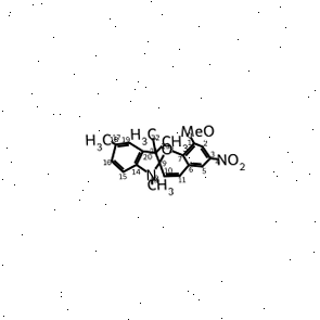 COc1cc([N+](=O)[O-])cc2c1OC1(C=C2)N(C)c2ccc(C)cc2C1(C)C